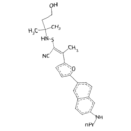 CCCNc1ccc2cc(-c3ccc(/C(C)=C(\C#N)SNC(C)(C)CCO)o3)ccc2c1